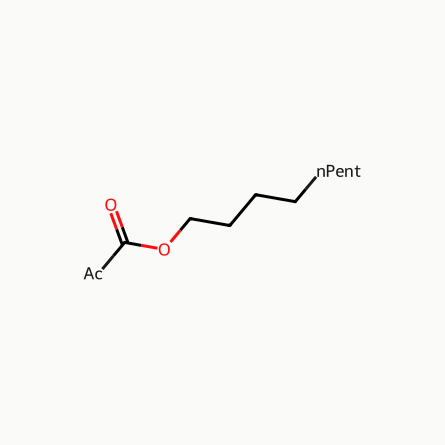 CCCCCCCCCOC(=O)C(C)=O